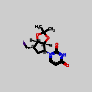 CC1(C)O[C@@H]2[C@@H](CI)C[C@@H](n3ccc(=O)[nH]c3=O)[C@@H]2O1